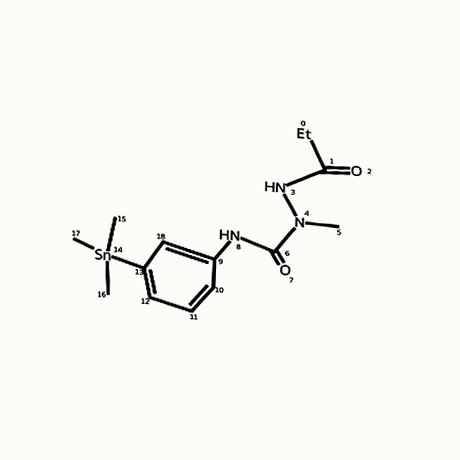 CCC(=O)NN(C)C(=O)Nc1ccc[c]([Sn]([CH3])([CH3])[CH3])c1